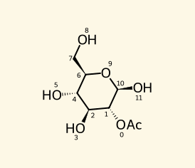 CC(=O)O[C@@H]1[C@@H](O)[C@H](O)[C@@H](CO)O[C@H]1O